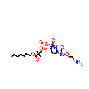 CCCCCCCOC(=O)C(C)(C)COS(=O)(=O)ON1C(=O)N2CC1CC[C@H]2C(=O)NOCCN